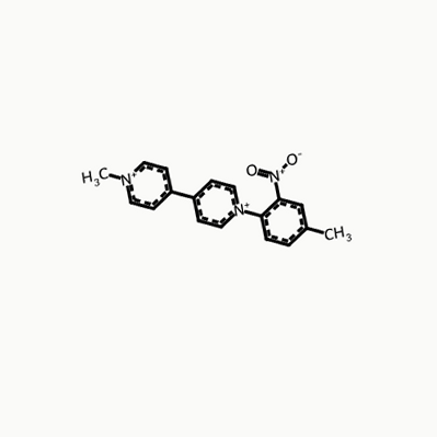 Cc1ccc(-[n+]2ccc(-c3cc[n+](C)cc3)cc2)c([N+](=O)[O-])c1